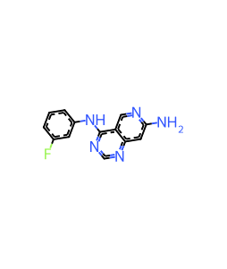 Nc1cc2ncnc(Nc3cccc(F)c3)c2cn1